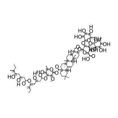 CC[C@H](C)[C@H](C[C@H](O)CC(=O)O[C@H]1[C@@H](O)[C@@H](C)O[C@@H](OC(=O)[C@]23CCC(C)(C)C[C@H]2C2=CC[C@@H]4[C@@]5(C)CC[C@H](O[C@@H]6O[C@H](C(=O)O)[C@@H](O)[C@H](O[C@@H]7O[C@@H](C)[C@H](O)[C@@H](O)[C@H]7O)[C@H]6O[C@@H]6O[C@H](CO)[C@H](O)[C@H](O)[C@H]6O)[C@@](C)(C=O)[C@@H]5CC[C@@]4(C)[C@]2(C)CC3)[C@@H]1OC)OC(=O)C[C@@H](O)C[C@H](O)[C@@H](C)CC